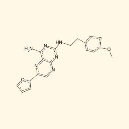 COc1ccc(CCNc2nc(N)c3nc(-c4ccco4)cnc3n2)cc1